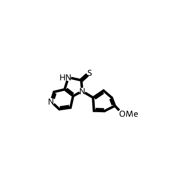 COc1ccc(-n2c(=S)[nH]c3cnccc32)cc1